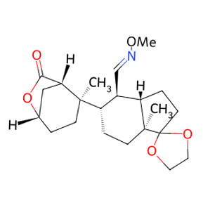 CO/N=C/[C@@H]1[C@@H]([C@@]2(C)CC[C@H]3C[C@@H]2C(=O)O3)CC[C@@]2(C)[C@H]1CCC21OCCO1